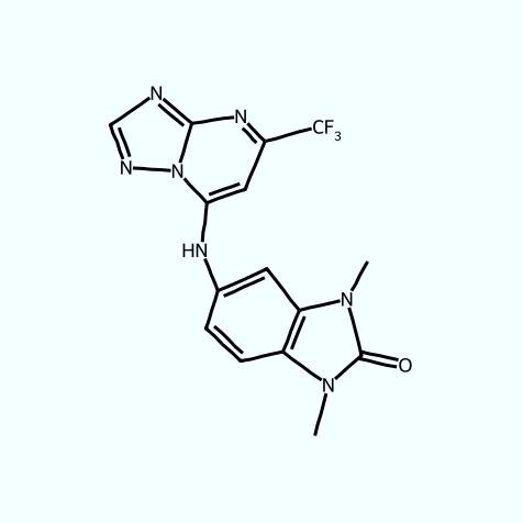 Cn1c(=O)n(C)c2cc(Nc3cc(C(F)(F)F)nc4ncnn34)ccc21